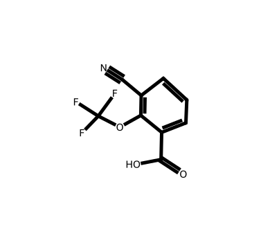 N#Cc1cccc(C(=O)O)c1OC(F)(F)F